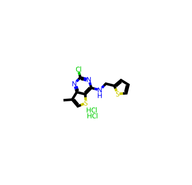 Cc1csc2c(NCc3cccs3)nc(Cl)nc12.Cl.Cl